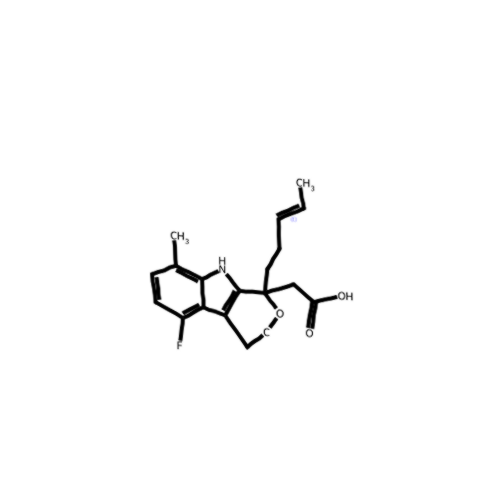 C/C=C/CCC1(CC(=O)O)OCCc2c1[nH]c1c(C)ccc(F)c21